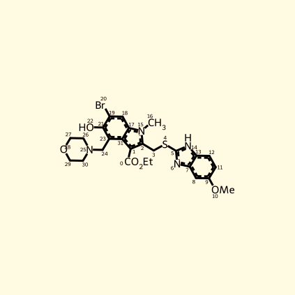 CCOC(=O)c1c(CSc2nc3cc(OC)ccc3[nH]2)n(C)c2cc(Br)c(O)c(CN3CCOCC3)c12